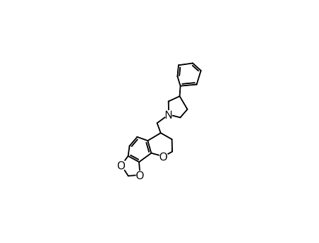 c1ccc(C2CCN(CC3CCOc4c3ccc3c4OCO3)C2)cc1